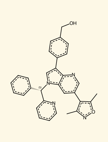 Cc1noc(C)c1-c1cnc2c(-c3ccc(CO)cc3)cn([C@@H](c3ccccc3)c3ccccn3)c2c1